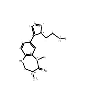 CNCCn1nnnc1-c1ccc2c(c1)N(C)C(=O)[C@@H](N)CO2